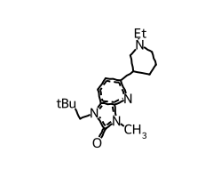 CCN1CCCC(c2ccc3c(n2)n(C)c(=O)n3CC(C)(C)C)C1